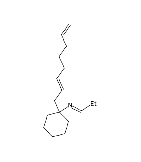 C=CCCCC=CCC1(N=CCC)CCCCC1